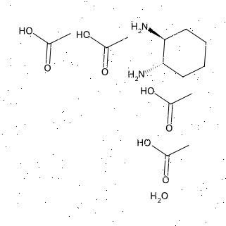 CC(=O)O.CC(=O)O.CC(=O)O.CC(=O)O.N[C@H]1CCCC[C@@H]1N.O